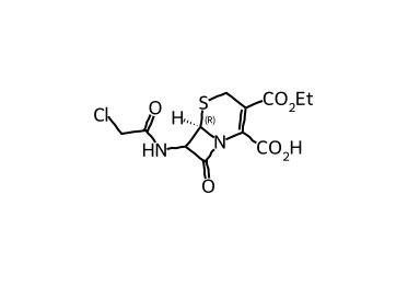 CCOC(=O)C1=C(C(=O)O)N2C(=O)C(NC(=O)CCl)[C@H]2SC1